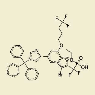 CCOP(=O)(O)C(F)(F)c1sc2c(OCCCC(F)(F)F)cc(-c3cn(C(c4ccccc4)(c4ccccc4)c4ccccc4)cn3)cc2c1Br